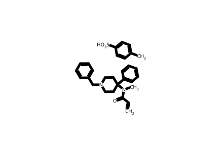 C=CC(=O)N(C)C1(c2ccccc2)CCN(Cc2ccccc2)CC1.Cc1ccc(S(=O)(=O)O)cc1